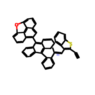 C#Cc1sc2ccccc2c1/C=C(\C)c1ccccc1-c1c2c(c(-c3cc4cccc5oc6cccc3c6c45)c3ccccc13)C=CCC2